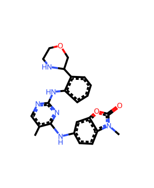 Cc1cnc(Nc2ccccc2C2COCCN2)nc1Nc1ccc2c(c1)oc(=O)n2C